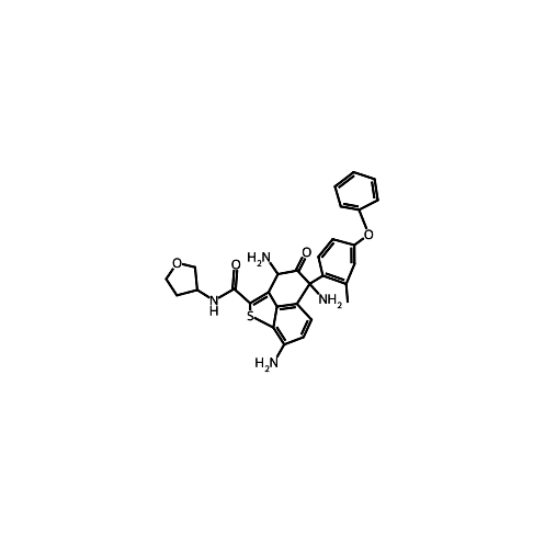 Cc1cc(Oc2ccccc2)ccc1C1(N)C(=O)C(N)c2c(C(=O)NC3CCOC3)sc3c(N)ccc1c23